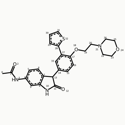 CC(=O)Nc1ccc2c(c1)NC(=O)C2c1ccc(OCCN2CCOCC2)c(-c2cccs2)c1